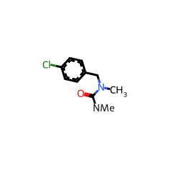 CNC(=O)N(C)Cc1ccc(Cl)cc1